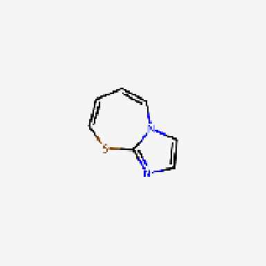 C1=CSc2nccn2C=C1